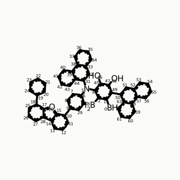 Bc1c(B)c(N(c2ccc(-c3cccc4c3oc3c(-c5ccccc5)cccc34)cc2)c2cc3ccccc3c3ccccc23)c(O)c(O)c1-c1cc2ccccc2c2ccccc12